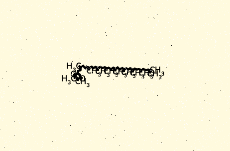 CC(C)=CCC/C(C)=C/CC/C(C)=C/CC/C(C)=C/CC/C(C)=C/CC/C(C)=C/CC/C(C)=C/CC/C(C)=C/CC/C(C)=C/CC1=CC(=O)C(C)=C(C)C1=O